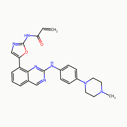 C=CC(=O)Nc1ncc(-c2cccc3cnc(Nc4ccc(N5CCN(C)CC5)cc4)nc23)o1